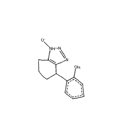 [O-][NH+]1N=NC2=C1CCCC2c1ccccc1O